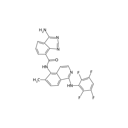 Cc1ccc2c(Nc3c(F)c(F)cc(F)c3F)nccc2c1NC(=O)c1cccc2c(N)ncnc12